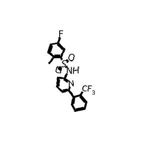 Cc1ccc(F)cc1S(=O)(=O)Nc1cccc(-c2ccccc2C(F)(F)F)n1